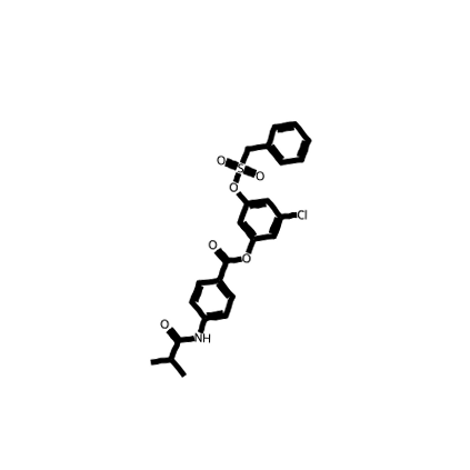 CC(C)C(=O)Nc1ccc(C(=O)Oc2cc(Cl)cc(OS(=O)(=O)Cc3ccccc3)c2)cc1